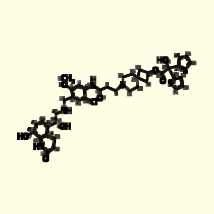 COc1cc(NC(=O)CCN2CCC3(CC2)CC(OC(=O)C(O)(c2cccs2)c2cccs2)C3)c(Cl)cc1CNC[C@H](O)c1ccc(O)c2[nH]c(=O)ccc12